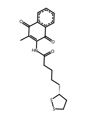 CC1=C(NC(=O)CCCC[C@@H]2CCSS2)C(=O)c2ccccc2C1=O